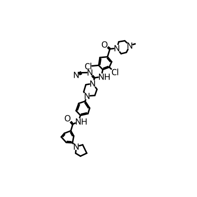 CN1CCN(C(=O)c2cc(Cl)c(N/C(=N/C#N)N3CCN(c4ccc(NC(=O)c5cccc(N6CCCC6)c5)cc4)CC3)c(Cl)c2)CC1